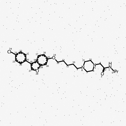 CC(C)NC(=O)CN1CCN(CCCCCOc2ccc3c(-c4ccc(Cl)cc4)coc3c2)CC1